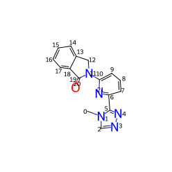 Cn1cnnc1-c1cccc(N2Cc3ccccc3C2=O)n1